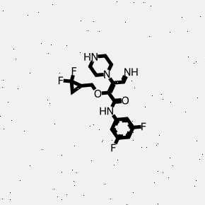 N=C/C(=C(/OCC1CC1(F)F)C(=O)Nc1cc(F)cc(F)c1)N1CCNCC1